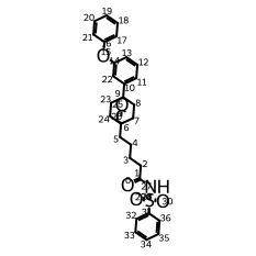 O=C(CCCCC12CCC(c3cccc(Oc4ccccc4)c3)(CC1)OC2)NS(=O)(=O)c1ccccc1